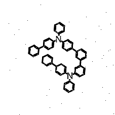 C1=CC(C2C=CC(N(c3ccccc3)c3cccc(-c4cccc(-c5ccc(N(c6ccccc6)c6ccc(-c7ccccc7)cc6)cc5)c4)c3)=CC2)=CCC1